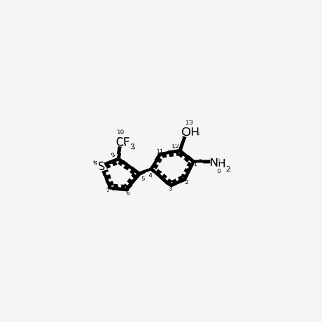 Nc1ccc(-c2ccsc2C(F)(F)F)cc1O